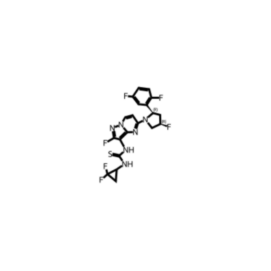 Fc1ccc(F)c([C@H]2C[C@@H](F)CN2c2ccn3nc(F)c(NC(=S)NC4CC4(F)F)c3n2)c1